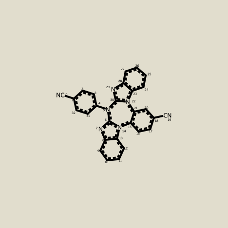 N#Cc1ccc(-n2c3nc4ccccc4n3c3ccc(C#N)cc3n3c4ccccc4nc23)cc1